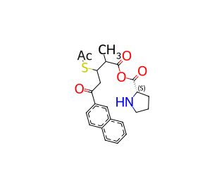 CC(=O)SC(CC(=O)c1ccc2ccccc2c1)C(C)C(=O)OC(=O)[C@@H]1CCCN1